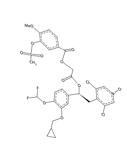 COc1ccc(C(=O)OCC(=O)O[C@@H](Cc2c(Cl)c[n+]([O-])cc2Cl)c2ccc(OC(F)F)c(OCC3CC3)c2)cc1OS(C)(=O)=O